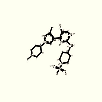 Cc1nn(C2CCN(C)CC2)cc1-c1nc(NC2CCN(S(C)(=O)=O)CC2)ncc1F